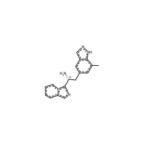 Cc1cc(C[C@@H](N)c2ncc3ccccn23)cc2cn[nH]c12